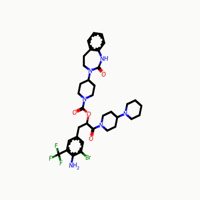 Nc1c(Br)cc(CC(OC(=O)N2CCC(N3CCc4ccccc4NC3=O)CC2)C(=O)N2CCC(N3CCCCC3)CC2)cc1C(F)(F)F